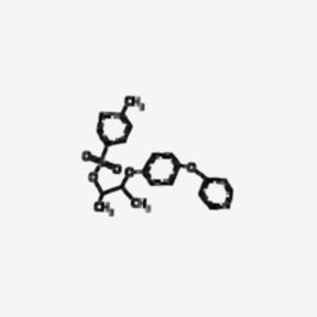 Cc1ccc(S(=O)(=O)OC(C)C(C)Oc2ccc(Oc3ccccc3)cc2)cc1